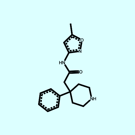 Cc1cc(NC(=O)CC2(c3ccccc3)CCNCC2)no1